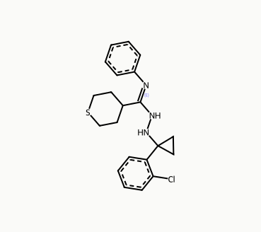 Clc1ccccc1C1(NN/C(=N/c2ccccc2)C2CCSCC2)CC1